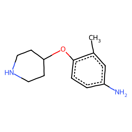 Cc1cc(N)ccc1OC1CCNCC1